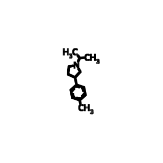 Cc1ccc(C2CCN(C(C)C)C2)cc1